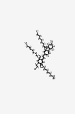 C/C=C/c1cc(OCCCCCCCC)c(/C=C/c2ccc3c4ccc(C)cc4n(CCCCCCCC)c3c2)cc1OCCCCCCCC